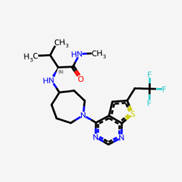 CNC(=O)[C@@H](NC1CCCN(c2ncnc3sc(CC(F)(F)F)cc23)CC1)C(C)C